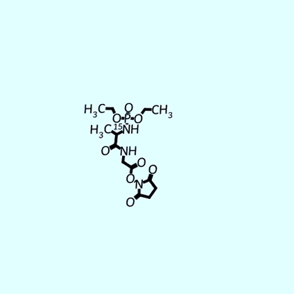 CCOP(=O)([15NH]C(C)C(=O)NCC(=O)ON1C(=O)CCC1=O)OCC